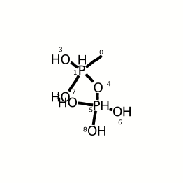 C[PH](O)(O)O[PH](O)(O)O